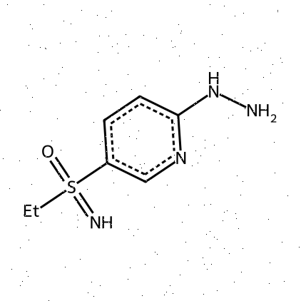 CCS(=N)(=O)c1ccc(NN)nc1